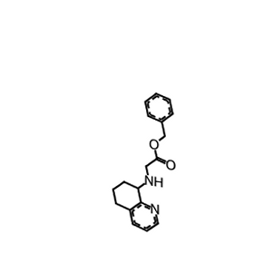 O=C(CNC1CCCc2cccnc21)OCc1ccccc1